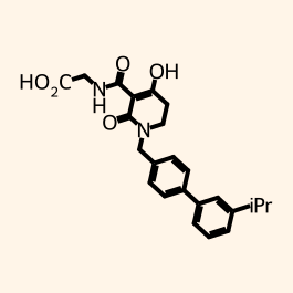 CC(C)c1cccc(-c2ccc(CN3CCC(O)=C(C(=O)NCC(=O)O)C3=O)cc2)c1